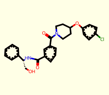 O=C(N[C@H](CO)c1ccccc1)c1cccc(C(=O)N2CCC(Oc3ccc(Cl)cc3)CC2)c1